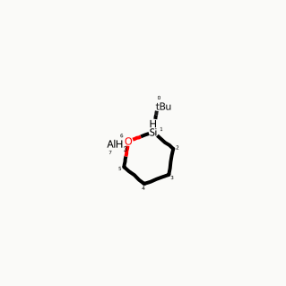 CC(C)(C)[SiH]1CCCCO1.[AlH3]